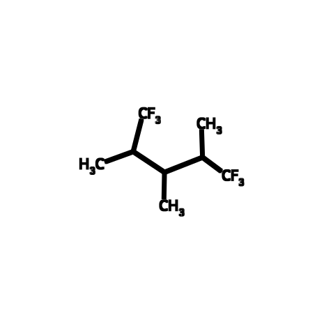 CC(C(C)C(F)(F)F)C(C)C(F)(F)F